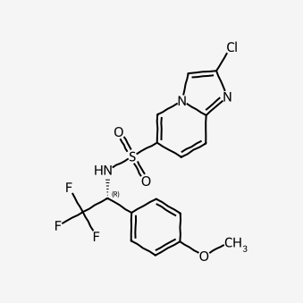 COc1ccc([C@@H](NS(=O)(=O)c2ccc3nc(Cl)cn3c2)C(F)(F)F)cc1